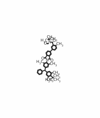 Cc1ccc(-c2ccc3c(c2)C(=O)N(c2c(C)cc(C(c4ccccc4)c4cc(C)c(C(C)(C)C)c(C)c4)cc2C)C3=O)cc1C(=O)N(C=O)C(C)(C)C